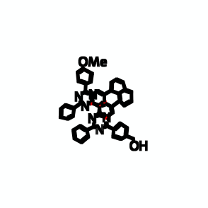 COc1ccc(-c2nc(-c3ccccc3)nc(-c3cccc(-c4cccc5cccc(-c6cccc(-c7nc(-c8ccccc8)nc(-c8ccc(CO)cc8)n7)c6)c45)c3)n2)cc1